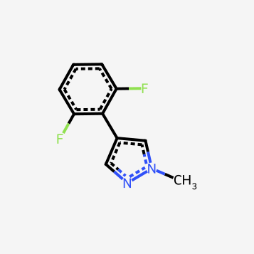 Cn1cc(-c2c(F)cccc2F)cn1